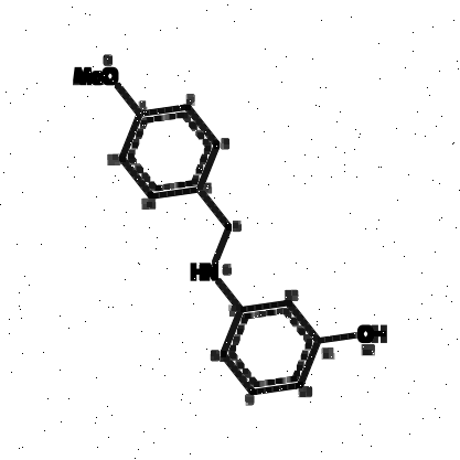 COc1ccc(CNc2[c]ccc(O)c2)cc1